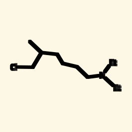 CCN(CC)CCCCC(C)CCl